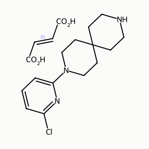 Clc1cccc(N2CCC3(CCNCC3)CC2)n1.O=C(O)/C=C/C(=O)O